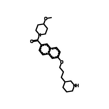 COC1CCN(C(=O)c2ccc3cc(OCCCC4CCCNC4)ccc3c2)CC1